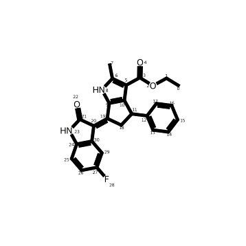 CCOC(=O)c1c(C)[nH]c2c1C(c1ccccc1)C/C2=C1/C(=O)Nc2ccc(F)cc21